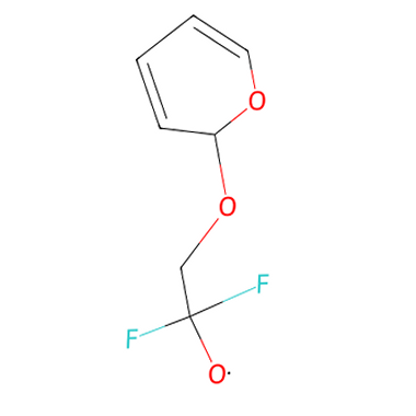 [O]C(F)(F)COC1C=CC=CO1